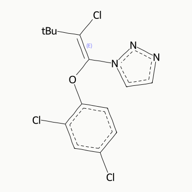 CC(C)(C)/C(Cl)=C(\Oc1ccc(Cl)cc1Cl)n1ccnn1